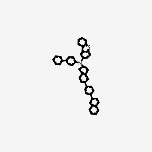 c1ccc(-c2ccc(N(c3ccc4cc(-c5ccc(-c6ccc7ccccc7c6)cc5)ccc4c3)c3ccc4sc5ccccc5c4c3)cc2)cc1